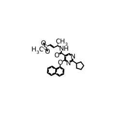 C[C@@H](/C=C/S(C)(=O)=O)NC(=O)c1cnc(C2CCCC2)nc1Oc1cccc2ccccc12